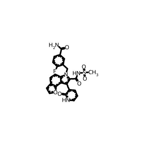 CS(=O)(=O)NC(=O)c1c(-c2ccc[nH]c2=O)c2c3occc3ccc2n1Cc1cc(C(N)=O)ccc1F